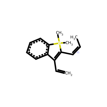 C=CC1=C(/C=C\C)S(C)(C)c2ccccc21